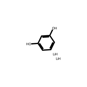 Oc1cccc(O)c1.[LiH].[LiH]